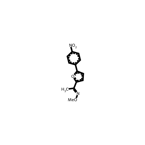 CON=C(C)c1ccc(-c2ccc([N+](=O)[O-])cc2)o1